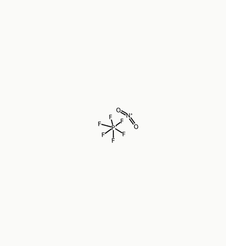 F[P-](F)(F)(F)(F)F.O=[N+]=O